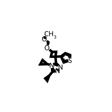 COCOC1CC(c2ccsc2)(c2nnc(C3CC3)n2C2CC2)C1